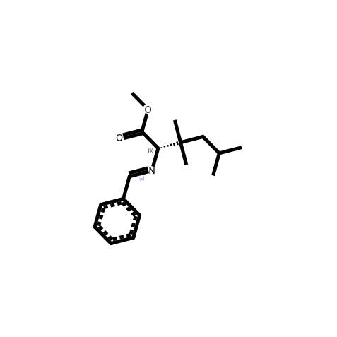 COC(=O)[C@@H](/N=C/c1ccccc1)C(C)(C)CC(C)C